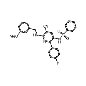 COc1cccc(CNc2nc(-c3ccc(F)cc3)c(NS(=O)(=O)c3ccccc3)cc2C#N)c1